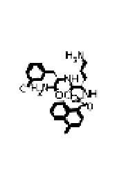 Cc1ccc(S(=O)(=O)N[C@@H](CCCN)C(=O)N[C@@H](Cc2cccc(Cl)c2)C(N)=O)c2ccccc12